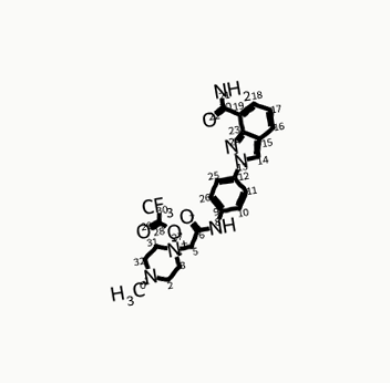 CN1CC[N+](CC(=O)Nc2ccc(-n3cc4cccc(C(N)=O)c4n3)cc2)(OC(=O)C(F)(F)F)CC1